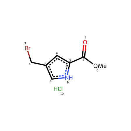 COC(=O)c1cc(CBr)c[nH]1.Cl